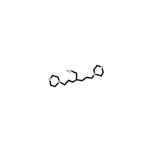 NCC(CCCN1CCOCC1)CCCN1CCOCC1